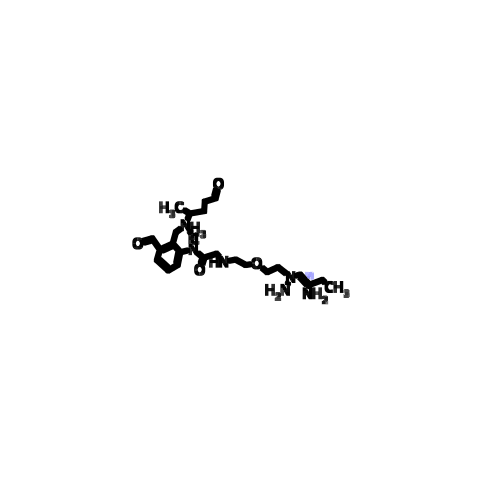 CC/C(N)=C/N(N)CCOCCNCC(=O)Nc1cccc(C=O)c1CN(C)C(C)CCC=O